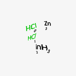 Cl.Cl.[InH3].[Zn]